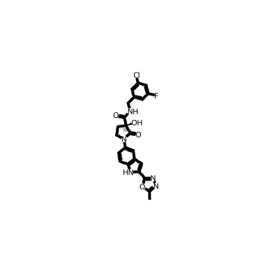 Cc1nnc(-c2cc3cc(N4CC[C@](O)(C(=O)NCc5cc(F)cc(Cl)c5)C4=O)ccc3[nH]2)o1